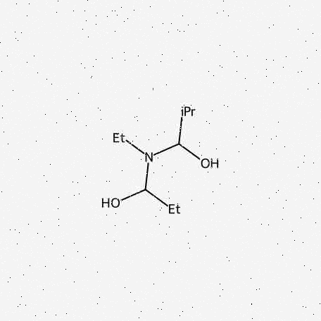 CCC(O)N(CC)C(O)C(C)C